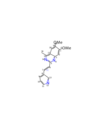 COc1cc2nc(/C=C/c3cccnc3)nc(C)c2cc1OC